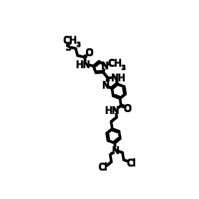 CSCCC(=O)Nc1cc(-c2nc3cc(C(=O)NCCc4ccc(N(CCCl)CCCl)cc4)ccc3[nH]2)n(C)c1